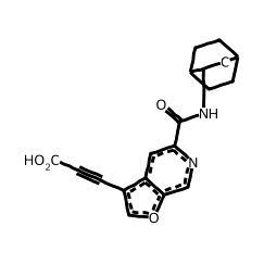 O=C(O)C#Cc1coc2cnc(C(=O)NC3CC4CCC3CC4)cc12